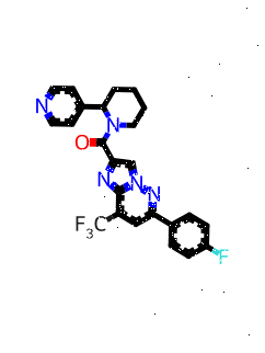 O=C(c1cn2nc(-c3ccc(F)cc3)cc(C(F)(F)F)c2n1)N1CCCCC1c1ccncc1